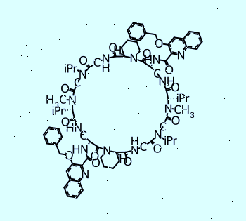 CC(C)[C@H]1C(=O)NC[C@@H](NC(=O)c2nc3ccccc3cc2OCc2ccccc2)C(=O)N2CCCC[C@H]2C(=O)NCC(=O)N(C(C)C)CC(=O)N(C)[C@@H](C(C)C)C(=O)NC[C@@H](NC(=O)c2nc3ccccc3cc2OCc2ccccc2)C(=O)N2CCCC[C@H]2C(=O)NCC(=O)N(C(C)C)CC(=O)N1C